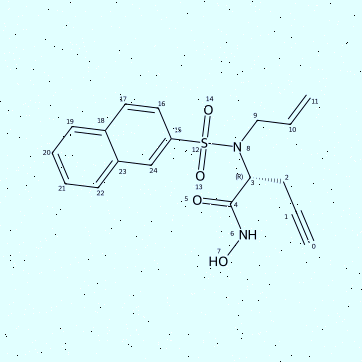 C#CC[C@H](C(=O)NO)N(CC=C)S(=O)(=O)c1ccc2ccccc2c1